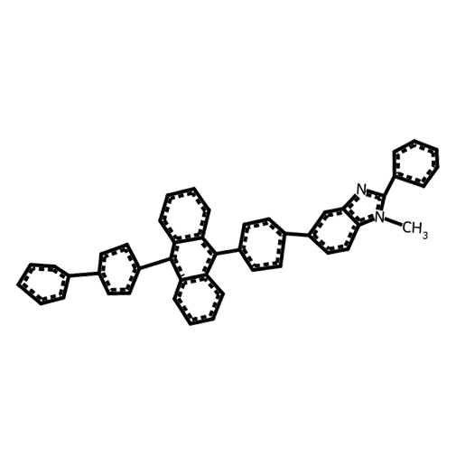 Cn1c(-c2ccccc2)nc2cc(-c3ccc(-c4c5ccccc5c(-c5ccc(-c6ccccc6)cc5)c5ccccc45)cc3)ccc21